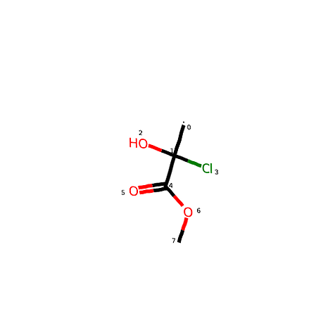 [CH2]C(O)(Cl)C(=O)OC